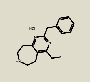 CCc1nc(Cc2ccccc2)nc2c1CCNCC2.Cl